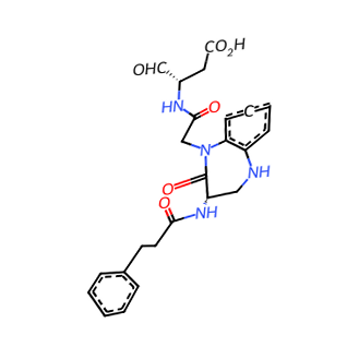 O=C[C@H](CC(=O)O)NC(=O)CN1C(=O)[C@@H](NC(=O)CCc2ccccc2)CNc2ccccc21